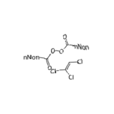 CCCCCCCCCC(=O)OOC(=O)CCCCCCCCC.ClC=C(Cl)Cl